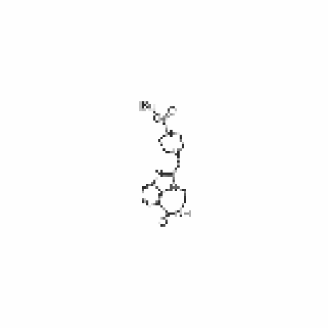 CC(C)(C)OC(=O)N1CCN(Cc2nc3cccc4c3n2CCNC4=O)CC1